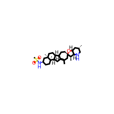 CC1=C2C[C@H]3[C@@H](CC[C@]4(C)C[C@H](NS(C)(=O)=O)CC[C@]34C)[C@@H]2CC[C@@]2(C1)O[C@@H]1C[C@H](C)CN[C@H]1[C@H]2C